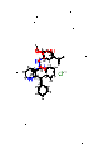 COc1ccc(C(C)C)cc1CNC1C2CCN(CC2C(=O)NCC(=O)O)C1C(c1ccccc1)c1ccccc1.Cl